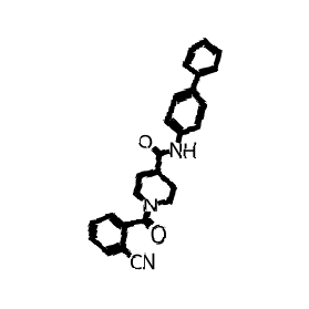 N#Cc1ccccc1C(=O)N1CCC(C(=O)Nc2ccc(-c3ccccc3)cc2)CC1